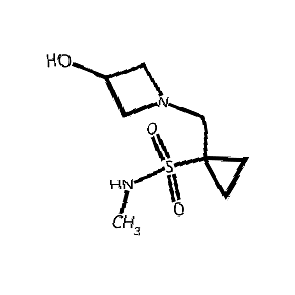 CNS(=O)(=O)C1(CN2CC(O)C2)CC1